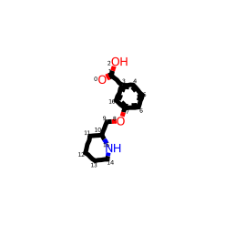 O=C(O)c1cccc(OCC2CCCCN2)c1